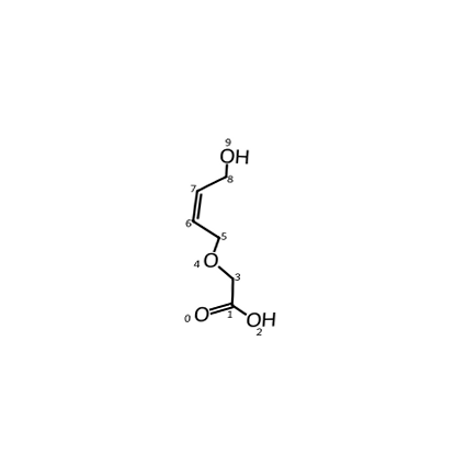 O=C(O)COC/C=C\CO